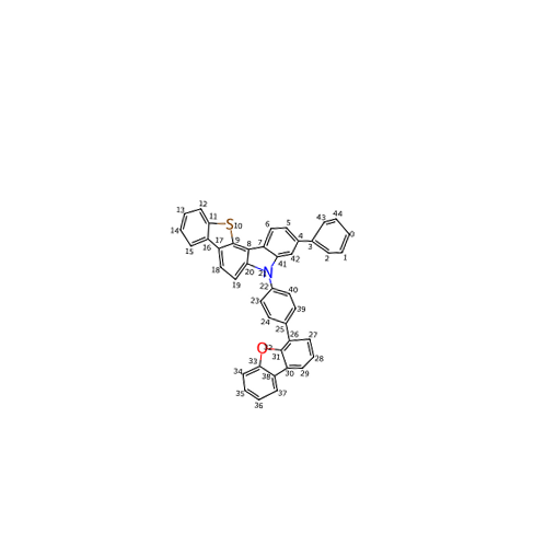 c1ccc(-c2ccc3c4c5sc6ccccc6c5ccc4n(-c4ccc(-c5cccc6c5oc5ccccc56)cc4)c3c2)cc1